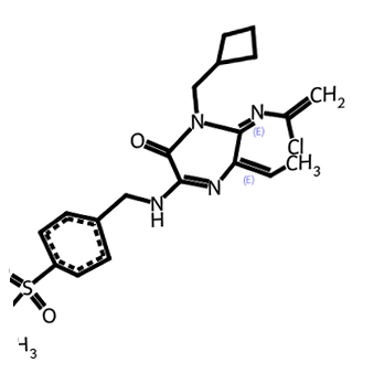 C=C(Cl)/N=C1\C(=C/C)N=C(NCc2ccc(S(=O)(=O)CC)cc2)C(=O)N1CC1CCC1